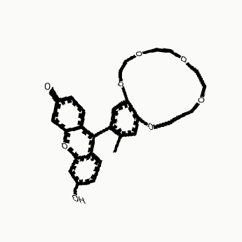 Cc1cc2c(cc1-c1c3ccc(=O)cc-3oc3cc(O)ccc13)OCCOCCOCCOCCO2